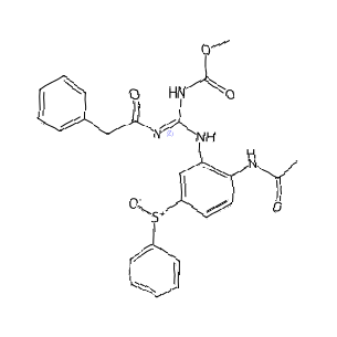 COC(=O)N/C(=N\C(=O)Cc1ccccc1)Nc1cc([S+]([O-])c2ccccc2)ccc1NC(C)=O